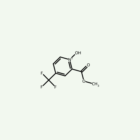 COC(=O)c1cc(C(F)(F)F)cc[n+]1O